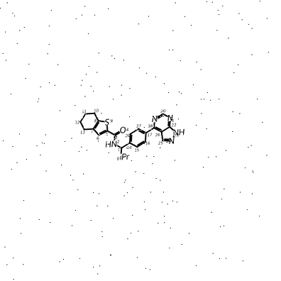 CC(C)C(NC(=O)c1cc2c(s1)CCCC2)c1ccc(-c2ncnc3[nH]ncc23)cc1